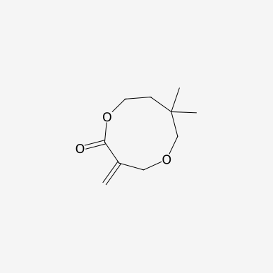 C=C1COCC(C)(C)CCOC1=O